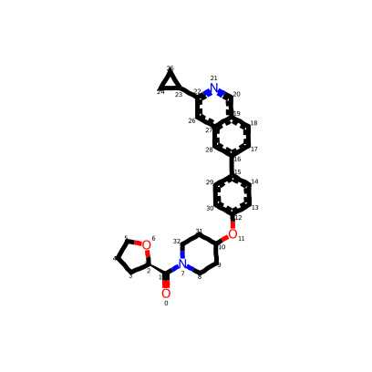 O=C([C@H]1CCCO1)N1CCC(Oc2ccc(-c3ccc4cnc(C5CC5)cc4c3)cc2)CC1